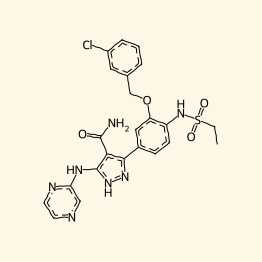 CCS(=O)(=O)Nc1ccc(-c2n[nH]c(Nc3cnccn3)c2C(N)=O)cc1OCc1cccc(Cl)c1